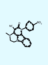 CN1CCn2c3ccccc3c3c2c1c(C#N)c(=O)n3-c1ccc([N+](=O)[O-])cc1